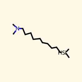 CN(C)CCCCCCCCCC[SiH](C)C